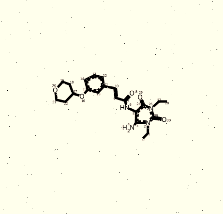 CCn1c(N)c(NC(=O)/C=C/c2cccc(OC3CCOCC3)c2)c(=O)n(CC)c1=O